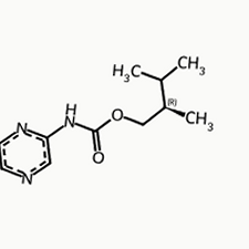 CC(C)[C@@H](C)COC(=O)Nc1cnccn1